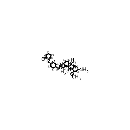 COc1cc(N)nc(C)c1N(C)c1nccc2nn(Cc3ccc(Cn4ccccc4=O)cc3)cc12